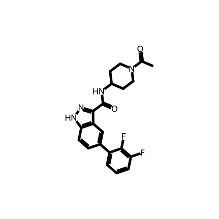 CC(=O)N1CCC(NC(=O)c2n[nH]c3ccc(-c4cccc(F)c4F)cc23)CC1